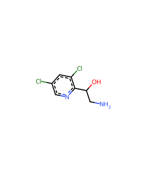 NCC(O)c1ncc(Cl)cc1Cl